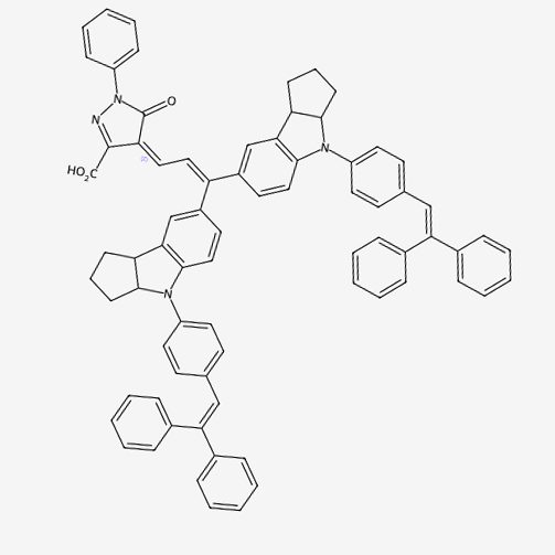 O=C(O)C1=NN(c2ccccc2)C(=O)/C1=C\C=C(c1ccc2c(c1)C1CCCC1N2c1ccc(C=C(c2ccccc2)c2ccccc2)cc1)c1ccc2c(c1)C1CCCC1N2c1ccc(C=C(c2ccccc2)c2ccccc2)cc1